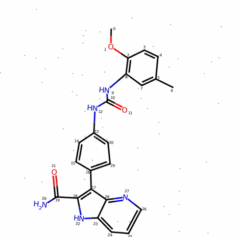 COc1ccc(C)cc1NC(=O)Nc1ccc(-c2c(C(N)=O)[nH]c3cccnc23)cc1